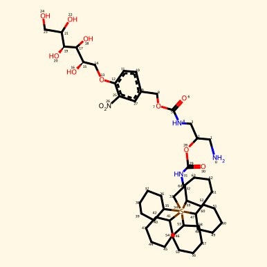 NCC(CNC(=O)OCc1ccc(OC[C@@H](O)C(O)[C@@H](O)C(O)CO)c([N+](=O)[O-])c1)OC(=O)NCCS(C1CCCCC1)(C1CCCCC1)(C1CCCCC1)(C1CCCCC1)C1CCCCC1